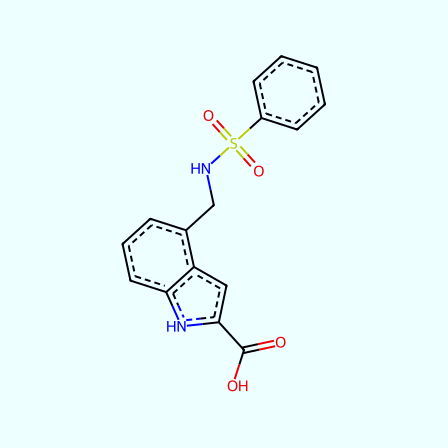 O=C(O)c1cc2c(CNS(=O)(=O)c3ccccc3)cccc2[nH]1